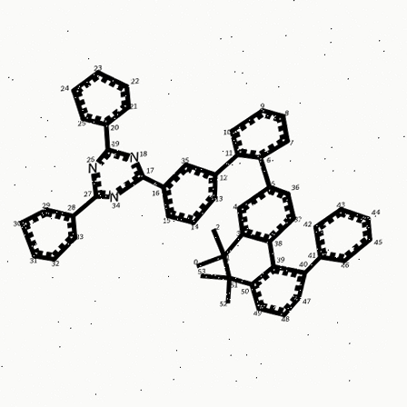 CC1(C)c2cc(-c3ccccc3-c3cccc(-c4nc(-c5ccccc5)nc(-c5ccccc5)n4)c3)ccc2-c2c(-c3ccccc3)cccc2C1(C)C